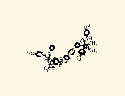 Cc1c(C(=O)NC2CCC(O)CC2)c(-c2cccc(N3CCN(c4ccc(NS(=O)(=O)c5ccc(N[C@H](CCN6CCC(O)CC6)CSc6ccccc6)c(S(=O)(=O)C(F)(F)F)c5)cc4)CC3)c2)c(-c2ccc(Cl)cc2)n1C